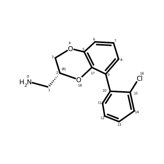 NC[C@@H]1COc2cccc(-c3ccccc3Cl)c2O1